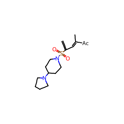 C=C(/C=C(\C)C(C)=O)S(=O)(=O)N1CCC(N2CCCC2)CC1